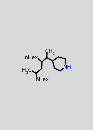 [CH2]C(C1CCNCC1)C(CCCCCC)CC(C)CCCCCC